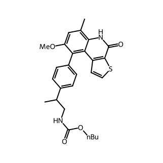 CCCCOC(=O)NCC(C)c1ccc(-c2c(OC)cc(C)c3[nH]c(=O)c4sccc4c23)cc1